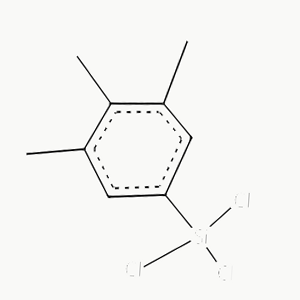 Cc1cc([Si](Cl)(Cl)Cl)cc(C)c1C